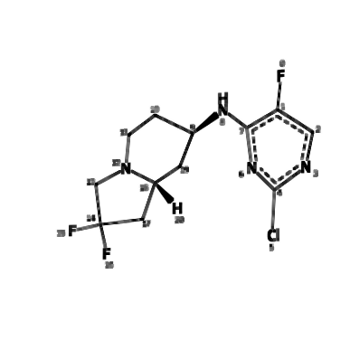 Fc1cnc(Cl)nc1N[C@@H]1CCN2CC(F)(F)C[C@H]2C1